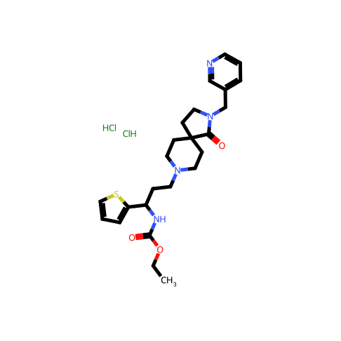 CCOC(=O)NC(CCN1CCC2(CC1)CCN(Cc1cccnc1)C2=O)c1cccs1.Cl.Cl